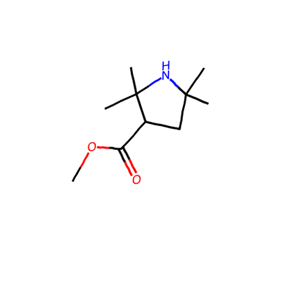 COC(=O)C1CC(C)(C)NC1(C)C